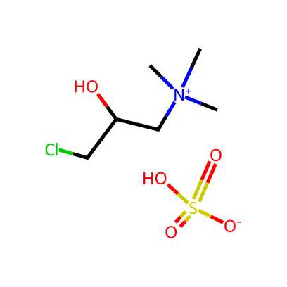 C[N+](C)(C)CC(O)CCl.O=S(=O)([O-])O